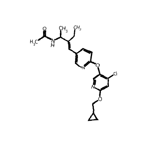 CC/C(=C\c1ccc(Oc2cnc(OCC3CC3)cc2Cl)nc1)C(C)NC(C)=O